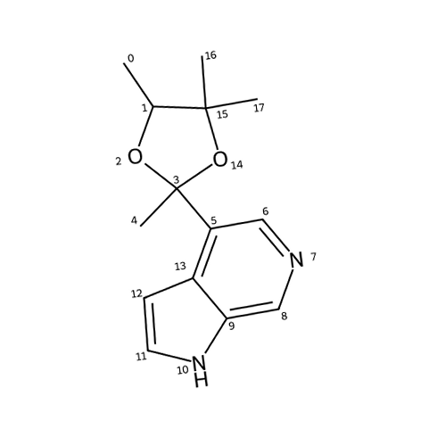 CC1OC(C)(c2cncc3[nH]ccc23)OC1(C)C